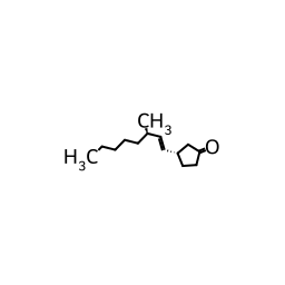 CCCCC[C@@H](C)/C=C/[C@H]1CCC(=O)C1